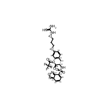 N=C(N)NOCCCOc1ccc(C[C@H](NS(=O)(=O)c2cccc3nonc23)C(=O)OC(=O)C(F)(F)F)cc1